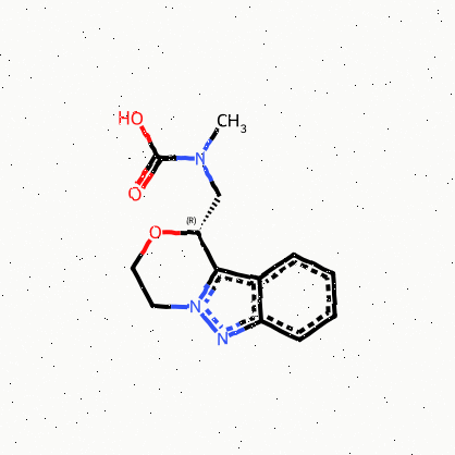 CN(C[C@H]1OCCn2nc3ccccc3c21)C(=O)O